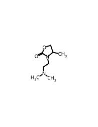 CC1COC(=O)N1CCN(C)C